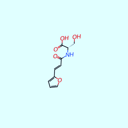 O=C(C=Cc1ccco1)N[C@@H](CO)C(=O)O